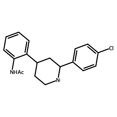 CC(=O)Nc1ccccc1C1CC[N]C(c2ccc(Cl)cc2)C1